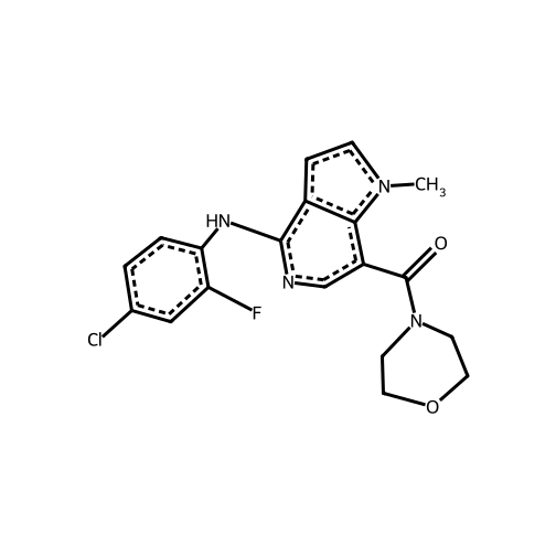 Cn1ccc2c(Nc3ccc(Cl)cc3F)ncc(C(=O)N3CCOCC3)c21